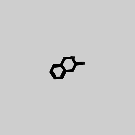 O=C1BOc2ccccc2C1